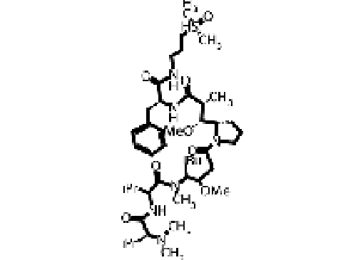 CC[C@H](C)C([C@@H](CC(=O)N1CCC[C@H]1[C@H](OC)[C@@H](C)C(=O)N[C@@H](Cc1ccccc1)C(=O)NCCC[SH](C)(C)=O)OC)N(C)C(=O)C(NC(=O)[C@H](C(C)C)N(C)C)C(C)C